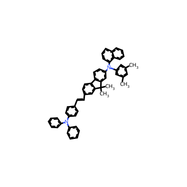 Cc1cc(C)cc(N(c2ccc3c(c2)C(C)(C)c2cc(/C=C/c4ccc(N(c5ccccc5)c5ccccc5)cc4)ccc2-3)c2cccc3ccccc23)c1